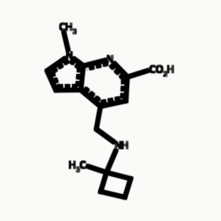 Cn1ccc2c(CNC3(C)CCC3)cc(C(=O)O)nc21